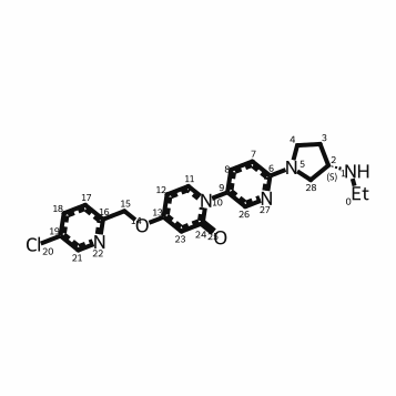 CCN[C@H]1CCN(c2ccc(-n3ccc(OCc4ccc(Cl)cn4)cc3=O)cn2)C1